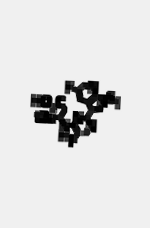 CC(C)(C)[C@@H](CC(=O)O)Nc1nc(-c2cn(SI)c3ncc(F)cc23)ncc1F